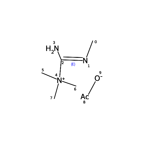 C/N=C(\N)[N+](C)(C)C.CC(=O)[O-]